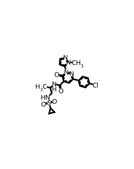 CC(CNS(=O)(=O)C1CC1)NC(=O)c1cc(-c2ccc(Cl)cc2)nn(-c2ccnn2C)c1=O